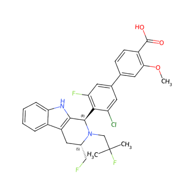 COc1cc(-c2cc(F)c([C@@H]3c4[nH]c5ccccc5c4C[C@@H](CF)N3CC(C)(C)F)c(Cl)c2)ccc1C(=O)O